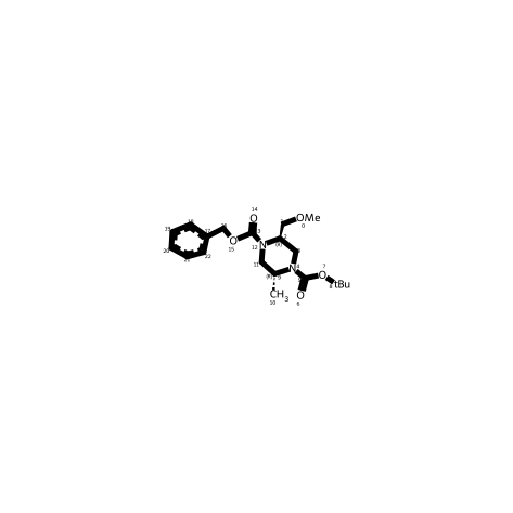 COC[C@H]1CN(C(=O)OC(C)(C)C)[C@H](C)CN1C(=O)OCc1ccccc1